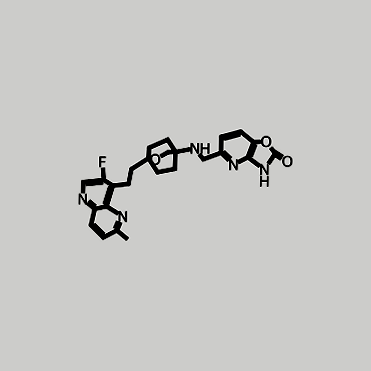 Cc1ccc2ncc(F)c(CCC34CCC(NCc5ccc6oc(=O)[nH]c6n5)(CC3)CO4)c2n1